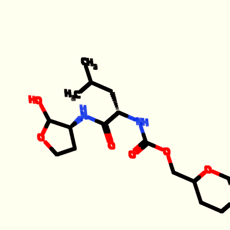 CC(C)C[C@H](NC(=O)OCC1CCCCO1)C(=O)N[C@H]1CCOC1O